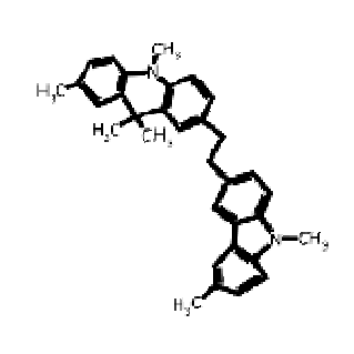 Cc1ccc2c(c1)C(C)(C)c1cc(CCc3ccc4c(c3)c3cc(C)ccc3n4C)ccc1N2C